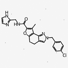 Cc1c(C(=O)NCc2ncc[nH]2)oc2c1-c1nn(Cc3ccc(Cl)cc3)cc1CC2